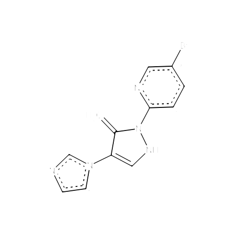 C=C1C(n2ccnc2)=CNN1c1ccc(Br)cn1